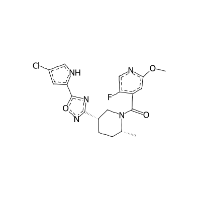 COc1cc(C(=O)N2C[C@@H](c3noc(-c4cc(Cl)c[nH]4)n3)CC[C@H]2C)c(F)cn1